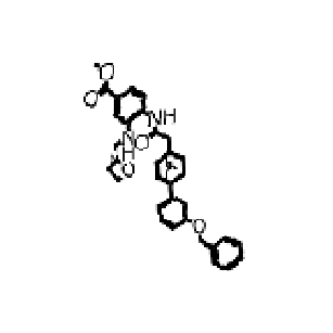 COC(=O)c1ccc(NC(=O)CC23CCC(c4cccc(OCc5ccccc5)c4)(CC2)CC3)c(NC[C@@H]2CCO2)c1